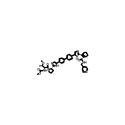 COC(=O)N[C@H](C(=O)N1CCC[C@H]1c1ncc(-c2ccc(-c3ccc(-c4cnc([C@H]5C6CCC(C6)[C@@H]5C(=O)NCc5ccncc5)[nH]4)cc3)cc2)[nH]1)[C@@H](C)OC